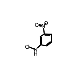 O=[N+]([O-])c1cccc(NCl)c1